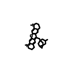 CC1CC2(CC3=c4cc5c(cc4Oc4cc6c(cc43)CCCN6C)=[N+](C)CCC5)CC3CC3(C1)C2